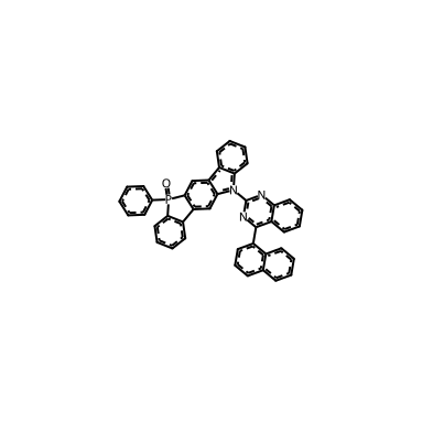 O=P1(c2ccccc2)c2ccccc2-c2cc3c(cc21)c1ccccc1n3-c1nc(-c2cccc3ccccc23)c2ccccc2n1